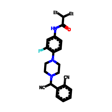 CCC(CC)C(=O)Nc1ccc(N2CCN(C(C#N)c3ccccc3C#N)CC2)c(F)c1